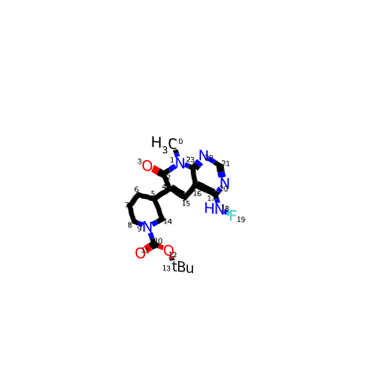 Cn1c(=O)c(C2CCCN(C(=O)OC(C)(C)C)C2)cc2c(NF)ncnc21